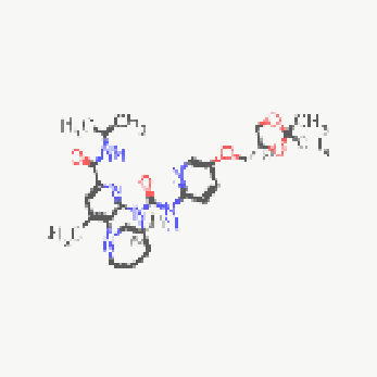 Cc1cc(C(=O)NC(C)C)nc2c1N1CCC[C@@H](C1)N2C(=O)Nc1ccc(OC[C@@H]2COC(C)(C)O2)cn1